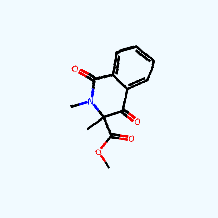 COC(=O)C1(C)C(=O)c2ccccc2C(=O)N1C